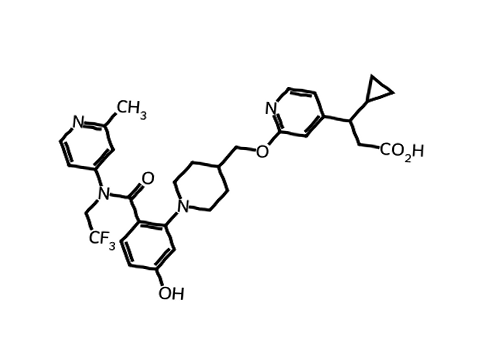 Cc1cc(N(CC(F)(F)F)C(=O)c2ccc(O)cc2N2CCC(COc3cc(C(CC(=O)O)C4CC4)ccn3)CC2)ccn1